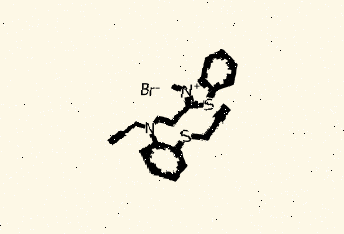 C#CCSc1ccccc1N(C=Cc1sc2ccccc2[n+]1C)CC#C.[Br-]